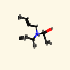 CCC=CCN(C(=O)C(Cl)(Cl)Cl)C(CC)C(=O)O